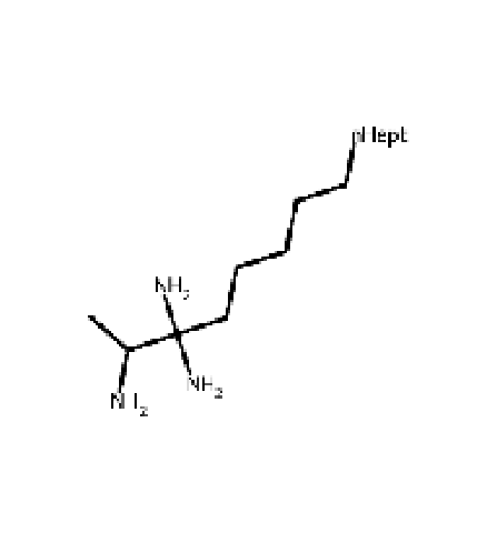 CCCCCCCCCCCCC(N)(N)C(C)N